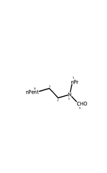 CCCCCCCN(C=O)CCC